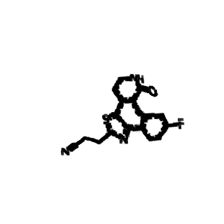 N#CCCc1nc2c3ccc(F)cc3c3c(=O)[nH]ccc3c2s1